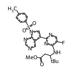 COC(=O)CC(Nc1nc(-c2cn(S(=O)(=O)c3ccc(C)cc3)c3ncncc23)ncc1F)C(C)(C)C